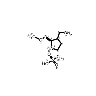 CON=C1NCCC1CN.CS(=O)(=O)O